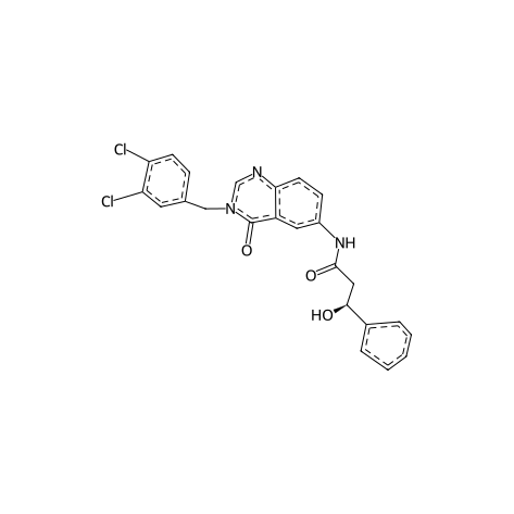 O=C(C[C@H](O)c1ccccc1)Nc1ccc2ncn(Cc3ccc(Cl)c(Cl)c3)c(=O)c2c1